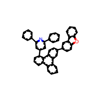 c1ccc(-c2cc(-c3cccc4c5ccccc5c5cc(-c6ccc7oc8ccccc8c7c6)ccc5c34)cc(-c3ccccc3)n2)cc1